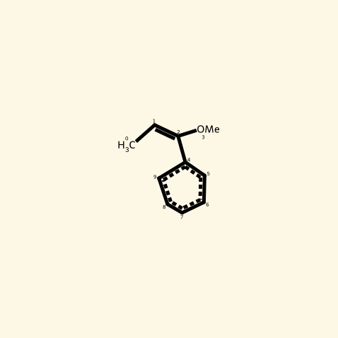 C/C=C(/OC)c1ccccc1